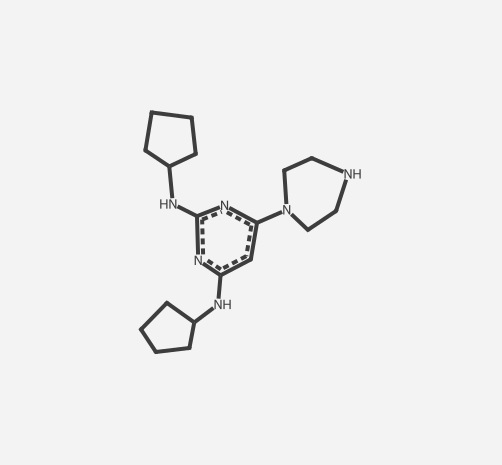 c1c(NC2CCCC2)nc(NC2CCCC2)nc1N1CCNCC1